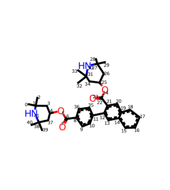 CC1(C)CC(OC(=O)c2ccc(-c3cc4ccccc4cc3C(=O)OC3CC(C)(C)NC(C)(C)C3)cc2)CC(C)(C)N1